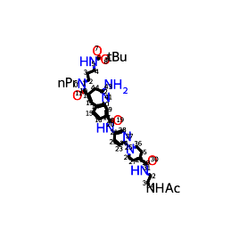 CCCN(CCCNC(=O)OC(C)(C)C)C(=O)C1=Cc2ccc(C(=O)Nc3ccc(N4CCC(C(=O)NCCNC(C)=O)CC4)nc3)cc2N=C(N)C1